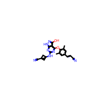 Cc1cc(/C=C/C#N)cc(C)c1Oc1nc(NC23CC(C#N)(C2)C3)nc2[nH]nc(O)c12